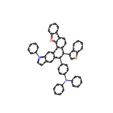 c1ccc(N(c2ccccc2)c2ccc(-c3c(-c4csc5ccccc45)c4ccc5c6ccccc6oc5c4c4cc5c(ccn5-c5ccccc5)cc34)cc2)cc1